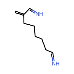 C=C(C=N)CCCCCC=N